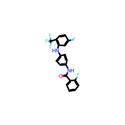 O=C(Nc1ccc(Nc2cc(F)ccc2C(F)(F)F)cc1)c1ccccc1F